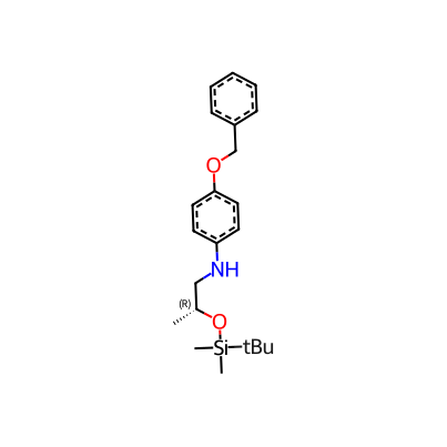 C[C@H](CNc1ccc(OCc2ccccc2)cc1)O[Si](C)(C)C(C)(C)C